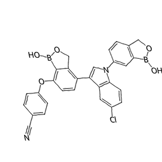 N#Cc1ccc(Oc2ccc(-c3cn(-c4ccc5c(c4)B(O)OC5)c4ccc(Cl)cc34)c3c2B(O)OC3)cc1